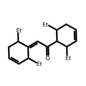 CCC1C=CCC(CC)C1=CC(=O)C1C(CC)C=CCC1CC